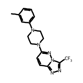 Cc1cccc(N2CCN(c3ccc4nnc(C(F)(F)F)n4n3)CC2)c1